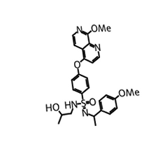 COc1ccc(C(C)N=S(=O)(NCC(C)O)c2ccc(Oc3ccnc4c(OC)nccc34)cc2)cc1